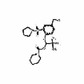 CC(C)(C)C(OC(=O)N1CCCCC1)Oc1ccc(CCl)cc1S(=O)(=O)N1CCCC1